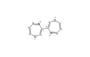 C1=COC=C(C2=COC=CC=N2)N=C1